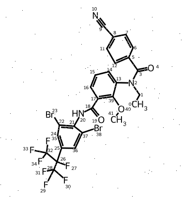 CCN(C(=O)c1ccc(C#N)cc1)c1cccc(C(=O)Nc2c(Br)cc(C(F)(C(F)(F)F)C(F)(F)F)cc2Br)c1OC